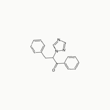 O=C(c1ccccc1)C(Cc1ccccc1)n1cncn1